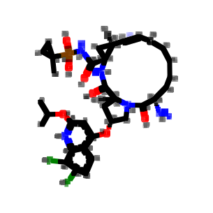 CC(C)Oc1cc(O[C@@H]2C[C@H]3C(=O)N[C@]4(C(=O)NS(=O)(=O)C5(C)CC5)C[C@H]4/C=C\CCCCC[C@H](N)C(=O)N3C2)c2ccc(F)c(F)c2n1